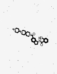 CN1CCC(N2CCC3(CCN(C(=O)c4ccc5c(c4)[C@H](NC(=O)c4ccccc4Cl)CC5)CC3)CC2)CC1